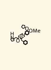 COc1ccc(N2CCN(C(=O)CC3CCCN3)C(Cc3ccccc3)C2)cc1OC1CCCC1